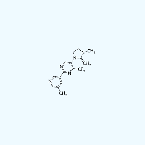 C=C1N(C)CCN1c1cnc(-c2cncc(C)c2)nc1C(F)(F)F